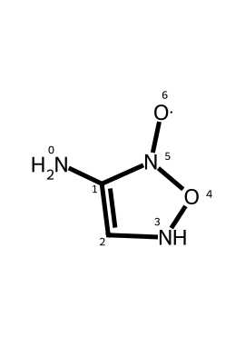 NC1=CNON1[O]